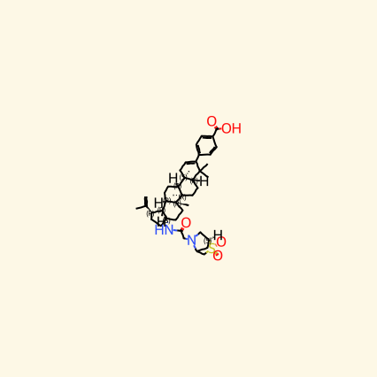 C=C(C)[C@@H]1CC[C@]2(NC(=O)CN3C[C@@H]4CC3CS4(=O)=O)CC[C@]3(C)[C@H](CC[C@@H]4[C@@]5(C)CC=C(c6ccc(C(=O)O)cc6)C(C)(C)[C@@H]5CC[C@]43C)[C@@H]12